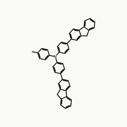 Cc1ccc(N(c2ccc(-c3ccc4c(c3)Cc3ccccc3-4)cc2)c2ccc(-c3ccc4c(c3)Cc3ccccc3-4)cc2)cc1